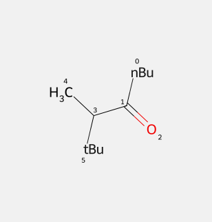 CCCCC(=O)C(C)C(C)(C)C